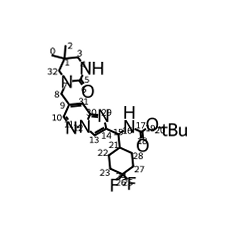 CC1(C)CNC(=O)N(Cc2cnn3cc([C@@H](NC(=O)OC(C)(C)C)C4CCC(F)(F)CC4)nc3c2)C1